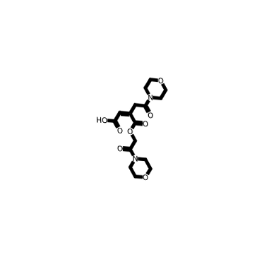 O=C(O)C=C(CC(=O)N1CCOCC1)C(=O)OCC(=O)N1CCOCC1